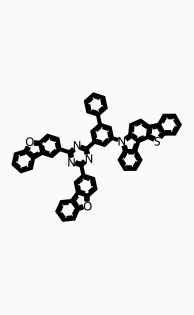 c1ccc(-c2cc(-c3nc(-c4ccc5oc6ccccc6c5c4)nc(-c4ccc5oc6ccccc6c5c4)n3)cc(-n3c4ccccc4c4c5sc6ccccc6c5ccc43)c2)cc1